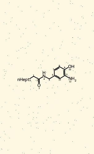 CCCCCCCCC(=O)NCc1ccc(O)c(N)c1